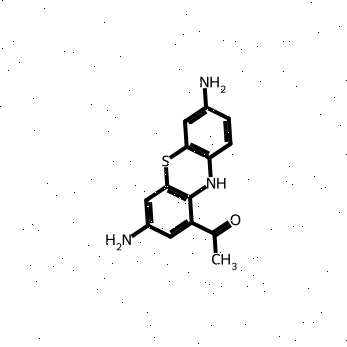 CC(=O)c1cc(N)cc2c1Nc1ccc(N)cc1S2